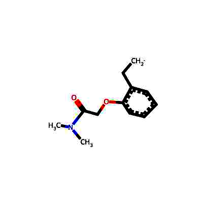 [CH2]Cc1ccccc1OCC(=O)N(C)C